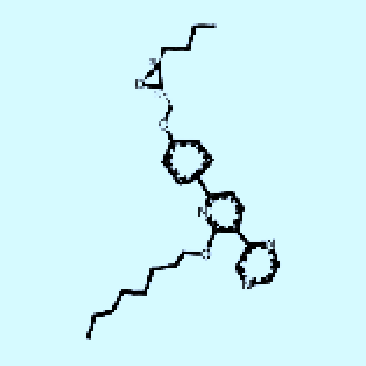 CCCCCCCCOc1nc(-c2ccc(OC[C@@H]3O[C@H]3CCCC)cc2)ccc1-c1cnccn1